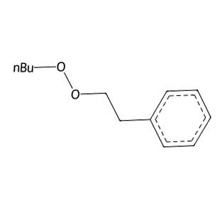 CCCCOOCCc1ccccc1